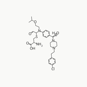 CC(C)OCCN(c1ccc(C(=O)N2CCN(CCc3ccc(Cl)cc3)CC2)cc1)C(C=O)SCC(N)C(=O)O.O